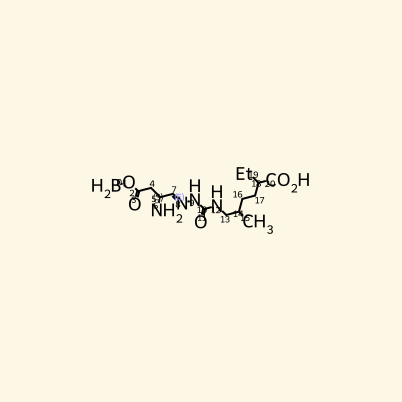 BOC(=O)C[C@H](N)/C=N/NC(=O)NCC(C)CCC(CC)C(=O)O